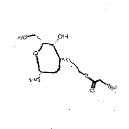 CC(C)(C)C(=O)OCO[C@@H]1C[C@H](O)O[C@H](CO)[C@@H]1O